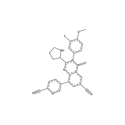 COc1ccc(-n2c(C3CCCN3)nc3c(-c4ccc(C#N)nc4)cc(C#N)cc3c2=O)cc1F